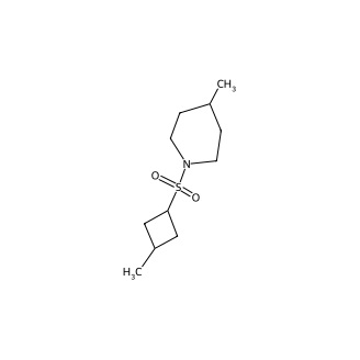 CC1CCN(S(=O)(=O)C2CC(C)C2)CC1